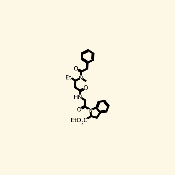 CCOC(=O)C1Cc2ccccc2N1C(=O)CNC(=O)CC(CC)N(C)C(=O)Cc1ccccc1